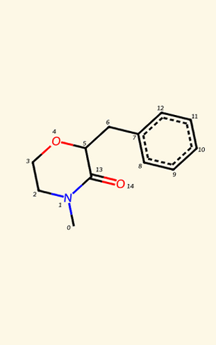 CN1CCOC(Cc2ccccc2)C1=O